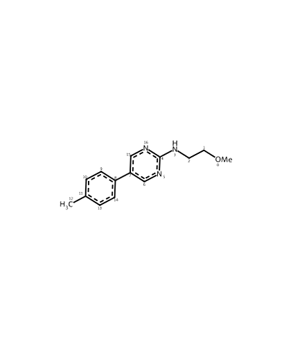 COCCNc1ncc(-c2ccc(C)cc2)cn1